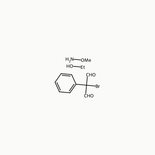 CCO.CON.O=CC(Br)(C=O)c1ccccc1